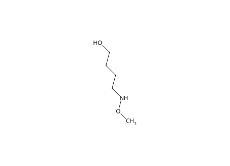 CONCCCCO